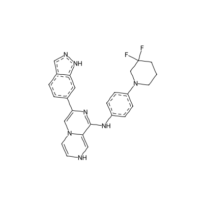 FC1(F)CCCN(c2ccc(NC3=NC(c4ccc5cn[nH]c5c4)=CN4C=CNC=C34)cc2)C1